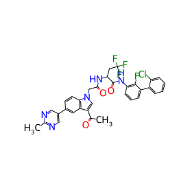 CC(=O)c1cn(CC(=O)NC(CC(F)(F)F)C(=O)Nc2cccc(-c3ccccc3Cl)c2F)c2ccc(-c3cnc(C)nc3)cc12